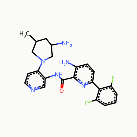 CC1CC(N)CN(c2ccncc2NC(=O)c2nc(-c3c(F)cccc3F)ccc2N)C1